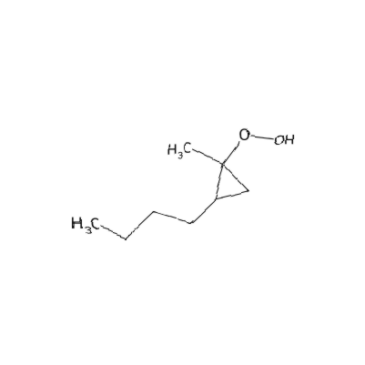 CCCCC1CC1(C)OO